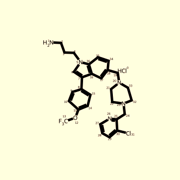 Cl.NCCCn1cc(-c2ccc(OC(F)(F)F)cc2)c2cc(CN3CCN(Cc4ncccc4Cl)CC3)ccc21